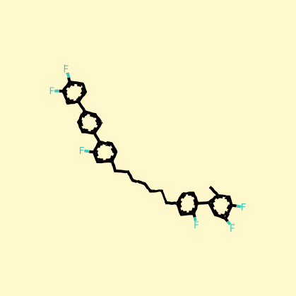 Cc1cc(F)c(F)cc1-c1ccc(CCCCCCCc2ccc(-c3ccc(-c4ccc(F)c(F)c4)cc3)c(F)c2)cc1F